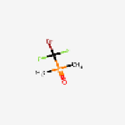 CP(C)(=O)C(F)(F)Br